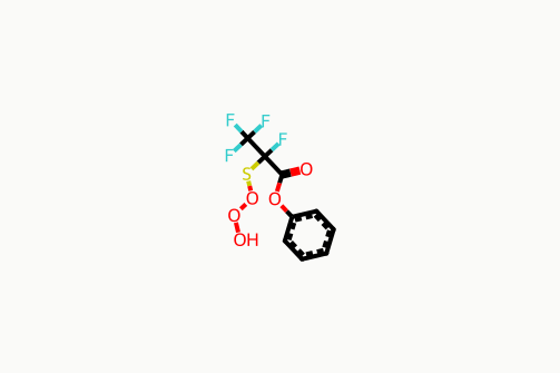 O=C(Oc1ccccc1)C(F)(SOOO)C(F)(F)F